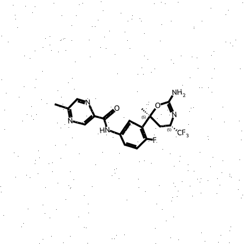 Cc1cnc(C(=O)Nc2ccc(F)c([C@]3(C)C[C@@H](C(F)(F)F)N=C(N)O3)c2)cn1